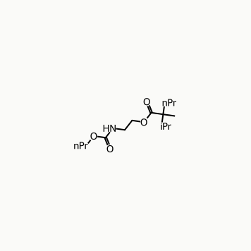 CCCOC(=O)NCCOC(=O)C(C)(CCC)C(C)C